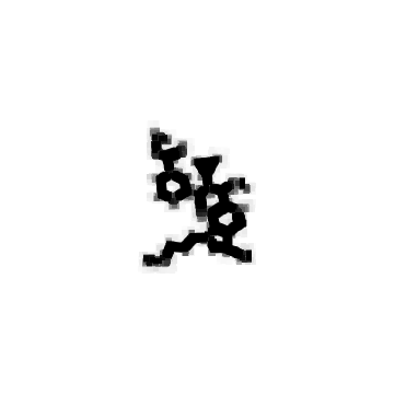 COCCCn1cc(Cl)c2cnc(C(C)N(C(=O)[C@H]3CN(C(=O)OC(C)(C)C)CCO3)C3CC3)cc21